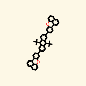 CC(C)(C)c1c2ccc(-c3ccc4c(c3)Oc3cccc5cccc-4c35)cc2c(C(C)(C)C)c2ccc(-c3ccc4c(c3)Oc3cccc5cccc-4c35)cc12